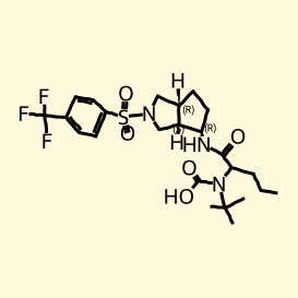 CCCC(C(=O)N[C@@H]1CC[C@H]2CN(S(=O)(=O)c3ccc(C(F)(F)F)cc3)C[C@H]21)N(C(=O)O)C(C)(C)C